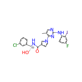 Cc1cnc(Nc2ccc(F)cc2I)nc1-n1ccc(C(=O)N[C@H](CO)c2cccc(Cl)c2)c1